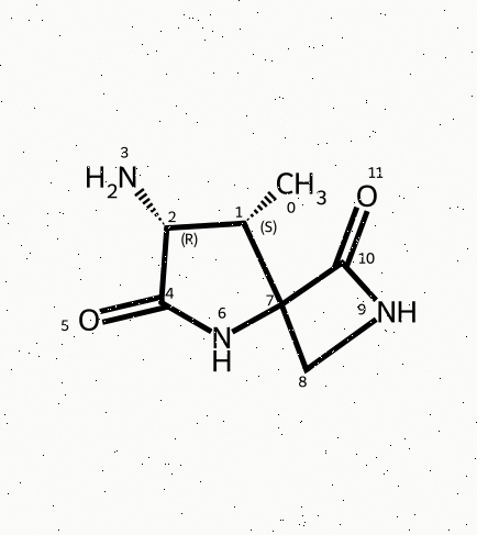 C[C@H]1[C@@H](N)C(=O)NC12CNC2=O